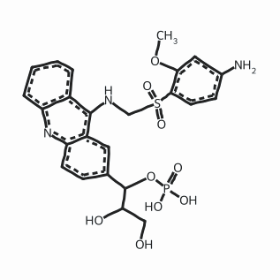 COc1cc(N)ccc1S(=O)(=O)CNc1c2ccccc2nc2ccc(C(OP(=O)(O)O)C(O)CO)cc12